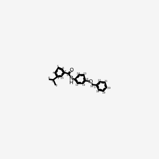 CC(C)c1cccc(C(=O)Nc2ccc(OCc3ccccc3)cc2)c1